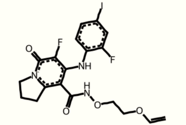 C=COCCONC(=O)c1c(Nc2ccc(I)cc2F)c(F)c(=O)n2c1CCC2